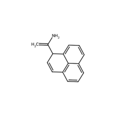 C=C(N)C1C=Cc2cccc3cccc1c23